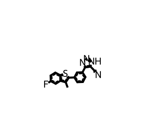 Cc1c(-c2cccc(-c3nn[nH]c3C#N)c2)sc2ccc(F)cc12